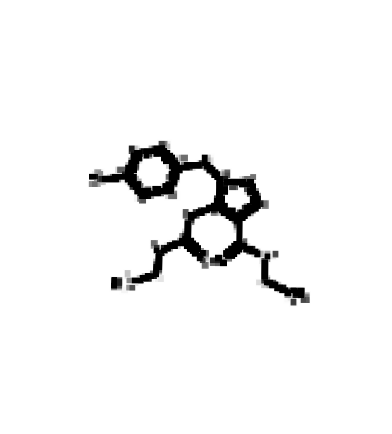 CCOC(=O)Cc1c(C(=O)OCC)ccn1Cc1ccc(Br)cc1